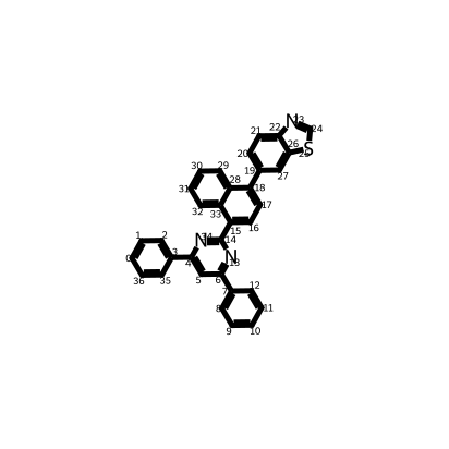 c1ccc(-c2cc(-c3ccccc3)nc(-c3ccc(-c4ccc5ncsc5c4)c4ccccc34)n2)cc1